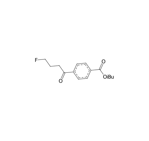 CC(C)COC(=O)c1ccc(C(=O)CCCF)cc1